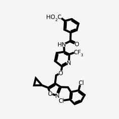 O=C(O)c1cccc(C(=O)Nc2ccc(OCc3c(Cc4c(Cl)cccc4Cl)noc3C3CC3)nc2C(F)(F)F)c1